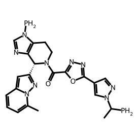 Cc1cccc2cc([C@@H]3c4ncn(P)c4CCN3C(=O)c3nnc(-c4cnn(C(C)P)c4)o3)nn12